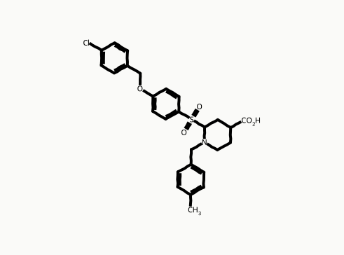 Cc1ccc(CN2CCC(C(=O)O)CC2S(=O)(=O)c2ccc(OCc3ccc(Cl)cc3)cc2)cc1